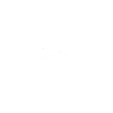 CC1(C)c2cccc3c2-c2c1c(-c1nc(-c4cc(-c5ccccc5)cc(-c5ccccc5)c4)nc(-c4ccc5c(c4)oc4ccccc45)n1)cc1c4ccccc4n(c21)-c1ccccc1-3